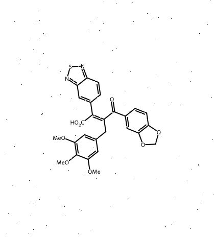 COc1cc(CC(C(=O)c2ccc3c(c2)OCO3)=C(C(=O)O)c2ccc3nsnc3c2)cc(OC)c1OC